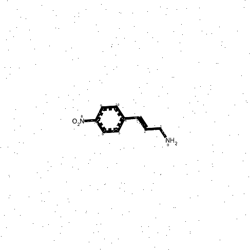 NCC=Cc1ccc([N+](=O)[O-])cc1